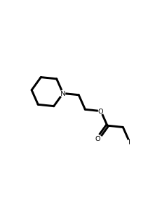 O=C(CI)OCCN1CCCCC1